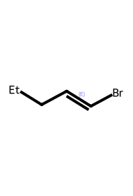 CCC/C=C/Br